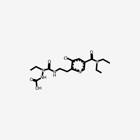 CCN(CC)C(=O)c1cnc(CCNC(=O)N(CC)NC(=O)O)c(Cl)c1